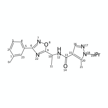 Cc1cccc(-c2noc(C(C)NC(=O)c3cnn(C(C)C)c3C)n2)c1